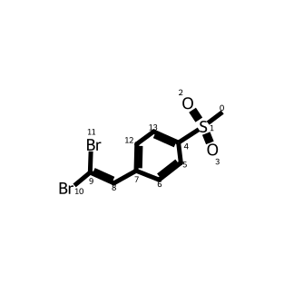 CS(=O)(=O)c1ccc(C=C(Br)Br)cc1